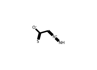 N=[N+]=CC([O-])=S